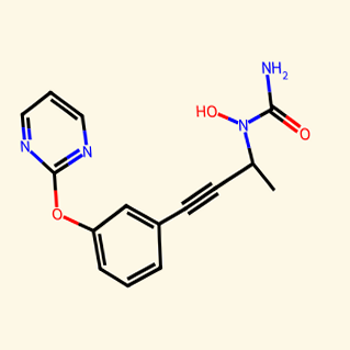 CC(C#Cc1cccc(Oc2ncccn2)c1)N(O)C(N)=O